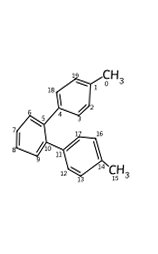 Cc1ccc(-c2ccccc2-c2ccc(C)cc2)cc1